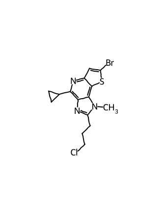 Cn1c(CCCCl)nc2c(C3CC3)nc3cc(Br)sc3c21